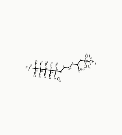 C[N+](C)(C)CC(O)CSCCC(F)(F)C(F)(F)C(F)(F)C(F)(F)C(F)(F)C(F)(F)F.[Cl-]